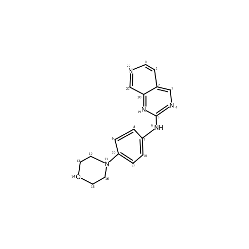 c1cc2cnc(Nc3ccc(N4CCOCC4)cc3)nc2cn1